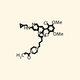 C=CC(=O)N1CCN(CCCc2cn3c(n2)c(-c2c(Cl)c(OC)cc(OC)c2Cl)cc2cnc(NCC4CC4)cc23)CC1